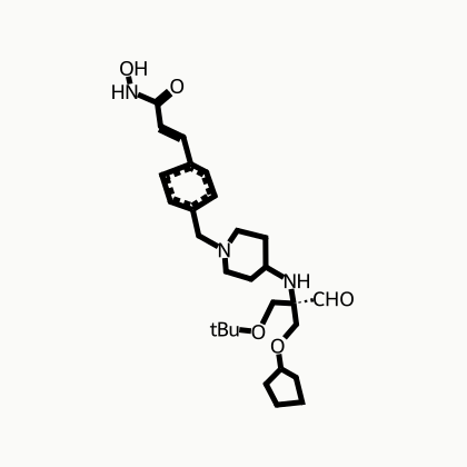 CC(C)(C)OC[C@](C=O)(COC1CCCC1)NC1CCN(Cc2ccc(/C=C/C(=O)NO)cc2)CC1